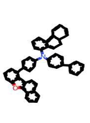 C1=CC2=c3cccc(N(c4ccc(-c5ccccc5)cc4)c4ccc(-c5cccc6oc7c8ccccc8ccc7c56)cc4)c3=CCC2C=C1